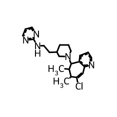 CC1C(Cl)=Cc2ncccc2C(N2CCCC(CCNc3ncccn3)C2)C1C